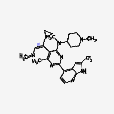 C=N/C=C(\c1c(C)nc(-c2ccnc3[nH]c(C(F)(F)F)cc23)nc1N(C)C1CCN(C)CC1)C1CC1